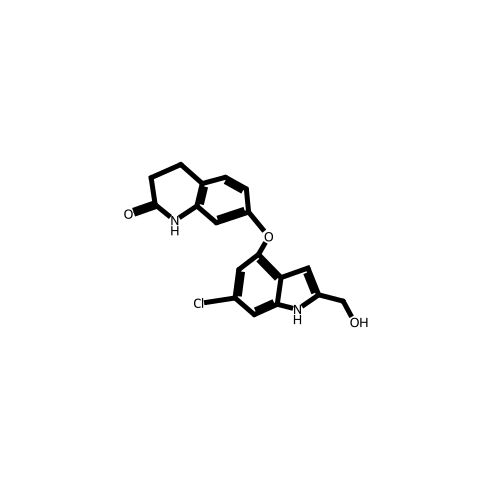 O=C1CCc2ccc(Oc3cc(Cl)cc4[nH]c(CO)cc34)cc2N1